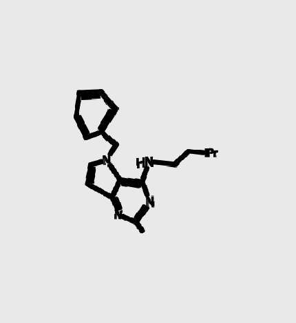 Cc1nc(NCCC(C)C)c2c(ccn2Cc2ccccc2)n1